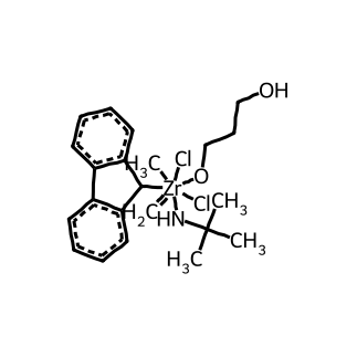 [CH2]=[Zr]([CH3])([Cl])([Cl])([NH]C(C)(C)C)([O]CCCO)[CH]1c2ccccc2-c2ccccc21